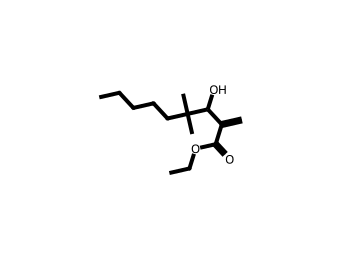 C=C(C(=O)OCC)C(O)C(C)(C)CCCCC